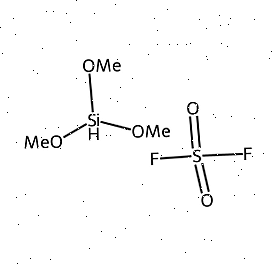 CO[SiH](OC)OC.O=S(=O)(F)F